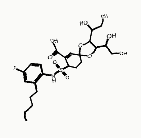 CCCCCc1cc(F)ccc1NS(=O)(=O)C1CCC2(C=C1C(=O)O)OC(C(O)CO)C(C(O)CO)O2